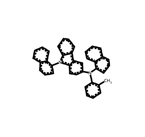 Cc1ccccc1N(c1ccc2c(c1)c1ccccc1n2-c1cccc2ccccc12)c1cccc2ccccc12